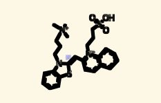 C[N+](C)(C)CCCN1/C(=C/c2ccc3ccccc3[n+]2CCCS(=O)(=O)O)Sc2ccccc21